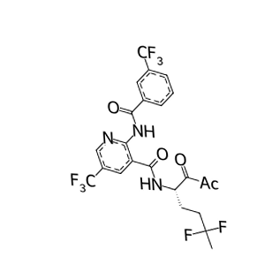 CC(=O)C(=O)[C@H](CCC(C)(F)F)NC(=O)c1cc(C(F)(F)F)cnc1NC(=O)c1cccc(C(F)(F)F)c1